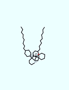 CCCCCCCCCC1CCC(C2(C3CCC(CCCCCCCCC)CC3)CCCC[C@]23CC2(CCCCC2)C3(Cl)Cl)CC1